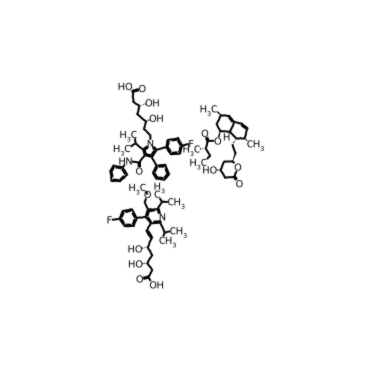 CC(C)c1c(C(=O)Nc2ccccc2)c(-c2ccccc2)c(-c2ccc(F)cc2)n1CC[C@@H](O)C[C@@H](O)CC(=O)O.CC[C@H](C)C(=O)O[C@H]1C[C@@H](C)C=C2C=C[C@H](C)[C@H](CC[C@@H]3C[C@@H](O)CC(=O)O3)[C@H]21.COCc1c(C(C)C)nc(C(C)C)c(/C=C/[C@@H](O)C[C@@H](O)CC(=O)O)c1-c1ccc(F)cc1